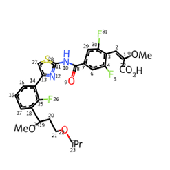 COC(=Cc1c(F)cc(C(=O)Nc2nc(-c3cccc(C(CCOC(C)C)OC)c3F)cs2)cc1F)C(=O)O